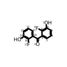 O=C(c1cccc(O)c1F)c1cccc(O)c1F